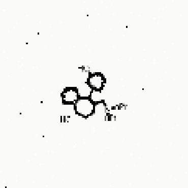 CCCN(CCC)CC1=C(c2cccc(O)c2)c2ccccc2CCC1.Cl